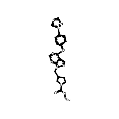 CC(C)(C)OC(=O)N1CCC(Cn2ncc3c(Oc4ccc(-n5cncn5)cc4)ncnc32)C1